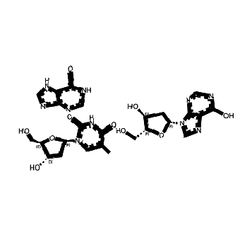 Cc1cn([C@H]2C[C@H](O)[C@@H](CO)O2)c(=O)[nH]c1=O.O=c1[nH]cnc2nc[nH]c12.OC[C@H]1O[C@@H](n2cnc3c(O)ncnc32)C[C@@H]1O